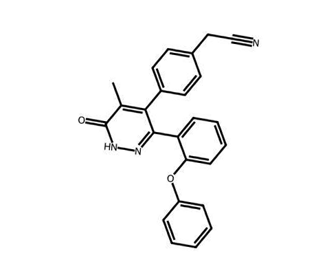 Cc1c(-c2ccc(CC#N)cc2)c(-c2ccccc2Oc2ccccc2)n[nH]c1=O